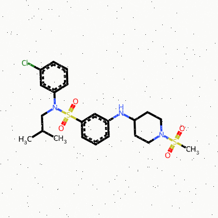 CC(C)CN(c1cccc(Cl)c1)S(=O)(=O)c1cccc(NC2CCN(S(C)(=O)=O)CC2)c1